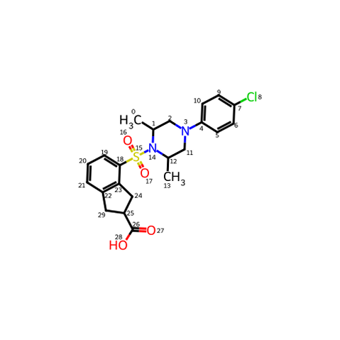 CC1CN(c2ccc(Cl)cc2)CC(C)N1S(=O)(=O)c1cccc2c1CC(C(=O)O)C2